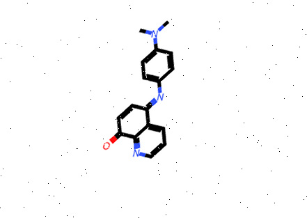 CN(C)c1ccc(N=C2C=CC(=O)c3ncccc32)cc1